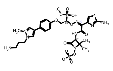 COP(=O)(O)[C@H](COc1ccc(-c2cn(CCCN)[n+](C)c2)cc1)O/N=C(\C(=O)N[C@@H]1C(=O)N(OS(=O)(=O)[O-])C1(C)C)c1csc(N)n1